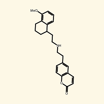 COc1cccc2c1CCCC2CCNCCc1ccc2oc(=O)ccc2c1